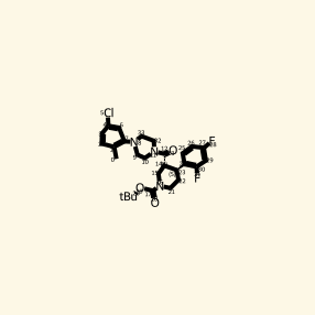 Cc1ccc(Cl)cc1N1CCN(C(=O)[C@H]2CN(C(=O)OC(C)(C)C)CC[C@@H]2c2ccc(F)cc2F)CC1